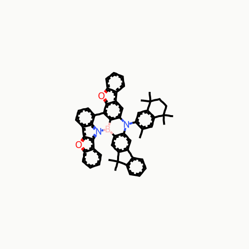 Cc1cc2c(cc1N1c3cc4c(cc3B3c5c1cc1c(oc6ccccc61)c5-c1cccc5c6oc7ccccc7c6n3c15)C(C)(C)c1ccccc1-4)C(C)(C)CCC2(C)C